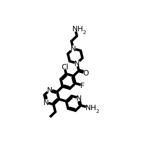 CCc1ncnc(-c2cc(F)c(C(=O)N3CCN(CCN)CC3)c(Cl)c2)c1-c1ccc(N)nc1